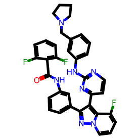 O=C(Nc1cccc(-c2nn3cccc(F)c3c2-c2ccnc(Nc3cccc(CN4CCCC4)c3)n2)c1)c1c(F)cccc1F